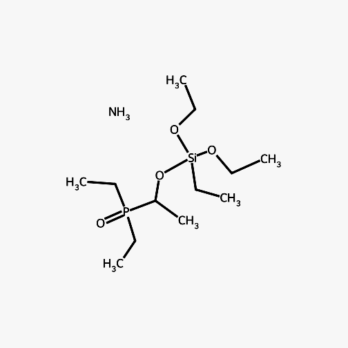 CCO[Si](CC)(OCC)OC(C)P(=O)(CC)CC.N